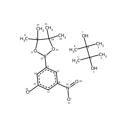 CC(C)(O)C(C)(C)O.CC1(C)OB(c2cc(Cl)cc([N+](=O)[O-])c2)OC1(C)C